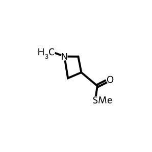 CSC(=O)C1CN(C)C1